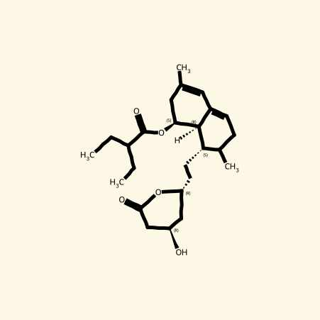 CCC(CC)C(=O)O[C@H]1CC(C)=CC2=CCC(C)[C@H](CC[C@@H]3C[C@@H](O)CC(=O)O3)[C@H]21